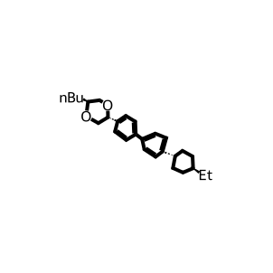 CCCC[C@H]1CO[C@H](c2ccc(-c3ccc([C@H]4CC[C@H](CC)CC4)cc3)cc2)CO1